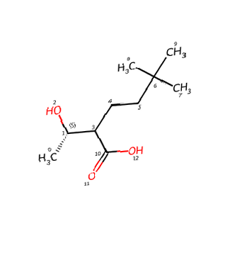 C[C@H](O)C(CCC(C)(C)C)C(=O)O